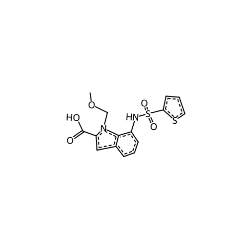 COCn1c(C(=O)O)cc2cccc(NS(=O)(=O)c3cccs3)c21